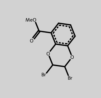 COC(=O)c1cccc2c1OC(Br)C(Br)O2